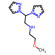 COCCNCC(n1cccn1)n1cccn1